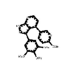 COc1ccc(-c2ccnc3[nH]nc(-c4cc(OC)c(OC)c(OC)c4)c23)cn1